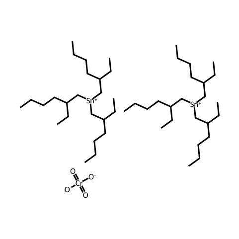 CCCCC(CC)[CH2][Sn+]([CH2]C(CC)CCCC)[CH2]C(CC)CCCC.CCCCC(CC)[CH2][Sn+]([CH2]C(CC)CCCC)[CH2]C(CC)CCCC.[O]=[Cr](=[O])([O-])[O-]